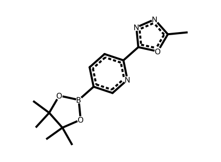 Cc1nnc(-c2ccc(B3OC(C)(C)C(C)(C)O3)cn2)o1